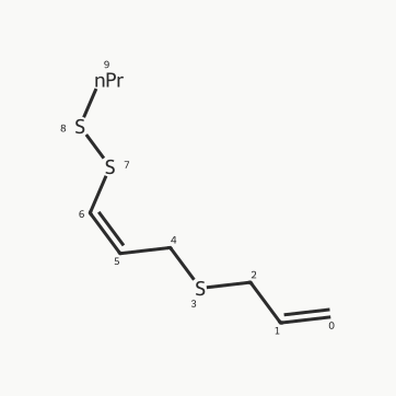 C=CCSC/C=C\SSCCC